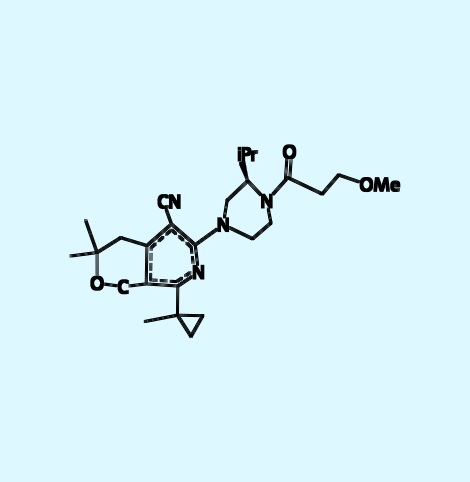 COCCC(=O)N1CCN(c2nc(C3(C)CC3)c3c(c2C#N)CC(C)(C)OC3)C[C@H]1C(C)C